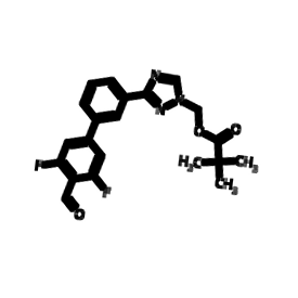 CC(C)(C)C(=O)OCn1cnc(-c2cccc(-c3cc(F)c(C=O)c(F)c3)c2)n1